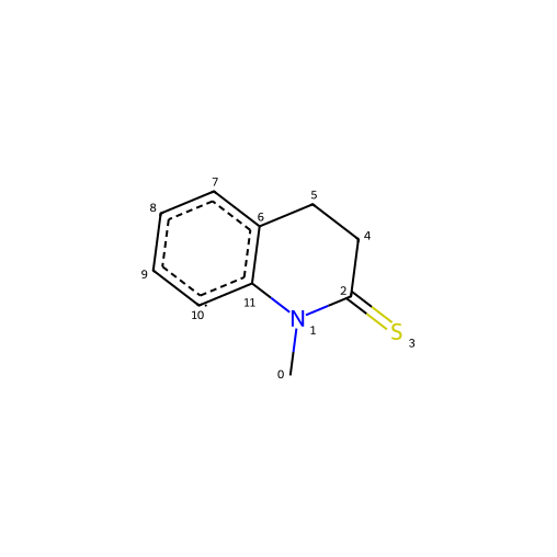 CN1C(=S)CCc2ccc[c]c21